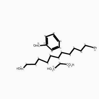 CCCCCCCCCCCCCCCCCCCCCC(C)C.O=C(O)CC(=O)O.O=Cc1ccccc1